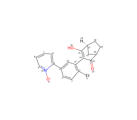 CCc1ccc(-c2cccc[n+]2[O-])cc1C1=C(O)[C@H]2CCC(C2)C1=O